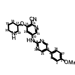 COc1ccc(-c2cnc(Nc3cnc(C#N)c(OC4CCCNC4)c3)nc2)cc1